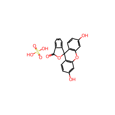 O=C1OC2(c3ccc(O)cc3Oc3cc(O)ccc32)c2ccccc21.O=S(=O)(O)O